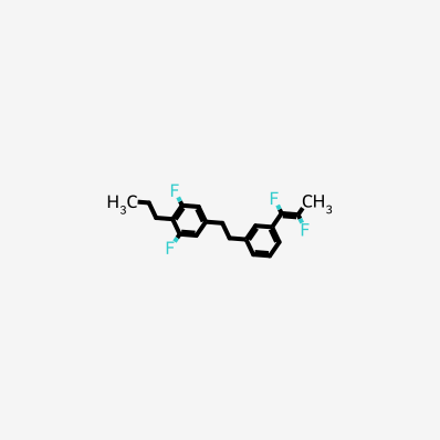 CCCc1c(F)cc(CCc2cccc(/C(F)=C(/C)F)c2)cc1F